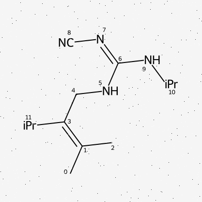 CC(C)=C(CN/C(=N\C#N)NC(C)C)C(C)C